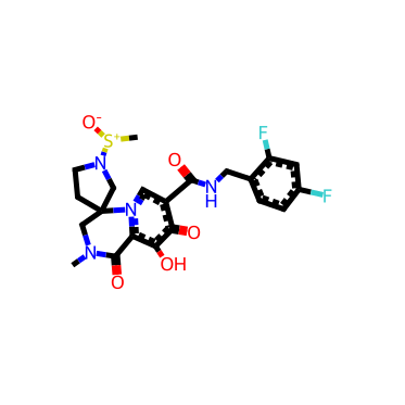 CN1CC2(CCN([S+](C)[O-])C2)n2cc(C(=O)NCc3ccc(F)cc3F)c(=O)c(O)c2C1=O